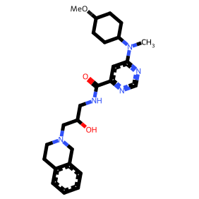 COC1CCC(N(C)c2cc(C(=O)NCC(O)CN3CCc4ccccc4C3)ncn2)CC1